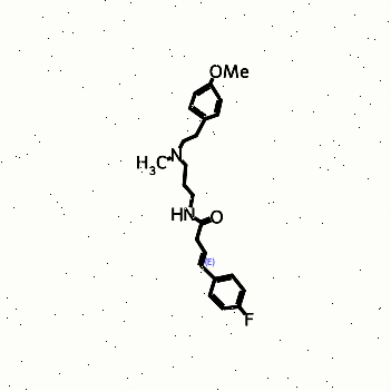 COc1ccc(CCN(C)CCCNC(=O)C/C=C/c2ccc(F)cc2)cc1